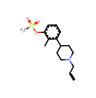 C=CCN1CCC(c2cccc(OS(=O)(=O)C(F)(F)F)c2C)CC1